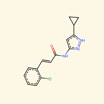 O=C(/C=C/c1ccccc1Cl)Nc1cc(C2CC2)[nH]n1